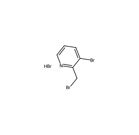 Br.BrCc1ncccc1Br